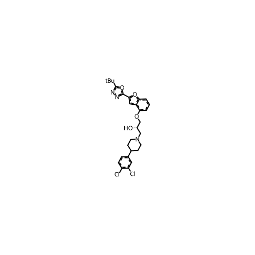 CC(C)(C)c1nnc(-c2cc3c(OC[C@@H](O)CN4CCC(c5ccc(Cl)c(Cl)c5)CC4)cccc3o2)o1